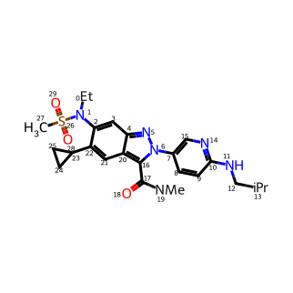 CCN(c1cc2nn(-c3ccc(NCC(C)C)nc3)c(C(=O)NC)c2cc1C1CC1)S(C)(=O)=O